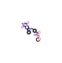 CN1CC(=O)N2Cc3c(c4ccccc4n3Cc3ccc(C(=O)NOC4CCCCO4)cc3)CC2C1=O